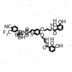 N#Cc1ccc(OP(=O)(O)CNS(=O)(=O)c2cc3cc(OCCCNC(=O)c4cccc(O)c4O)c(OCCCNC(=O)c4cccc(O)c4O)cc3s2)cc1C(F)(F)F